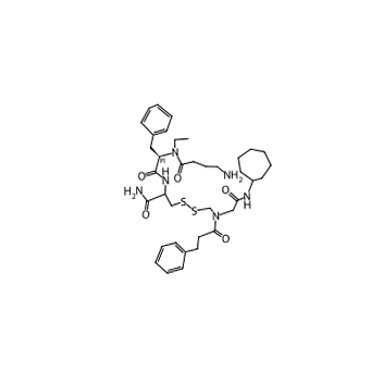 CCN(C(=O)CCCN)[C@H](Cc1ccccc1)C(=O)NC(CSSCN(CC(=O)NC1CCCCCC1)C(=O)CCc1ccccc1)C(N)=O